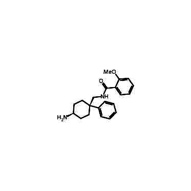 COc1ccccc1C(=O)NC[C@]1(c2ccccc2)CC[C@H](N)CC1